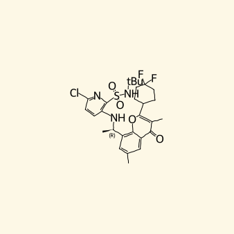 Cc1cc([C@@H](C)Nc2ccc(Cl)nc2S(=O)(=O)NC(C)(C)C)c2oc(C3CCC(F)(F)CC3)c(C)c(=O)c2c1